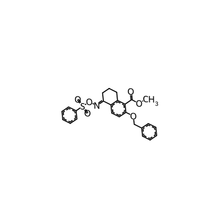 COC(=O)c1c(OCc2ccccc2)ccc2c1CCCC2=NOS(=O)(=O)c1ccccc1